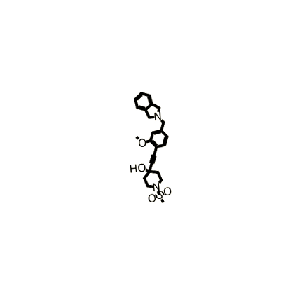 COc1cc(CN2Cc3ccccc3C2)ccc1C#CC1(O)CCN(S(C)(=O)=O)CC1